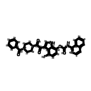 O=C(Nc1nccc2ccccc12)Oc1ccc(F)c2c(C(=O)C(=O)N3CCN(C(=O)c4ccccc4)CC3)c[nH]c12